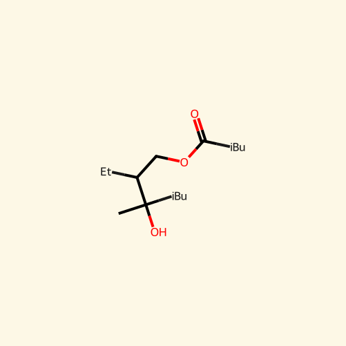 CCC(C)C(=O)OCC(CC)C(C)(O)C(C)CC